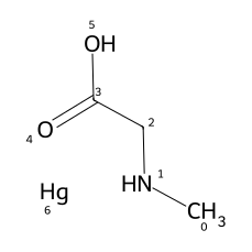 CNCC(=O)O.[Hg]